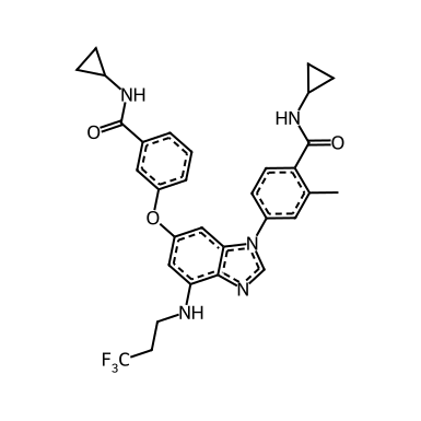 Cc1cc(-n2cnc3c(NCCC(F)(F)F)cc(Oc4cccc(C(=O)NC5CC5)c4)cc32)ccc1C(=O)NC1CC1